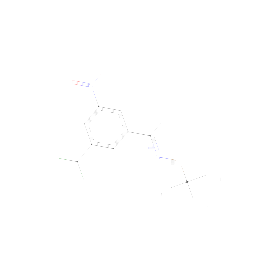 C/C(=N\[S@+]([O-])C(C)(C)C)c1cc(C(F)F)cc([N+](=O)[O-])c1